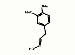 COc1ccc(CC=NO)cc1OC